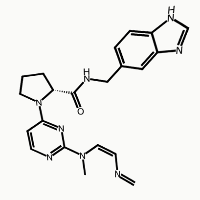 C=N/C=C\N(C)c1nccc(N2CCC[C@@H]2C(=O)NCc2ccc3[nH]cnc3c2)n1